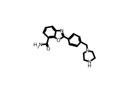 NC(=O)c1cccc2nc(-c3ccc(CN4CCNCC4)cc3)oc12